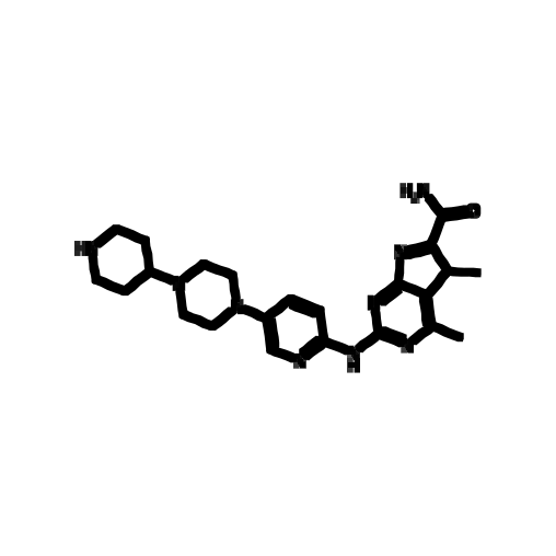 Cc1nc(Nc2ccc(N3CCN(C4CCNCC4)CC3)cn2)nc2c1C(C)C(C(N)=O)=N2